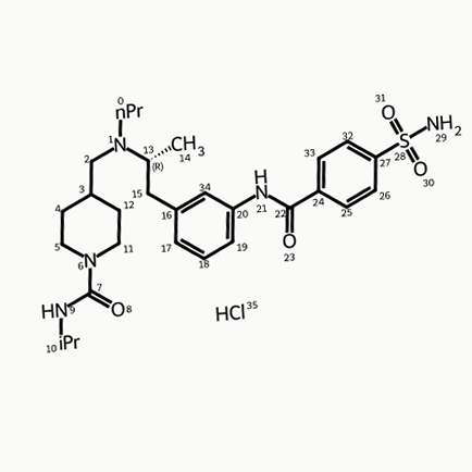 CCCN(CC1CCN(C(=O)NC(C)C)CC1)[C@H](C)Cc1cccc(NC(=O)c2ccc(S(N)(=O)=O)cc2)c1.Cl